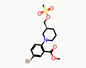 COC(=O)c1cc(Br)ccc1N1CCC[C@H](COS(C)(=O)=O)C1